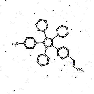 C/C=C/c1ccc(-c2c(-c3ccccc3)c(-c3ccccc3)c(-c3ccc(C)cc3)n2-c2ccccc2)cc1